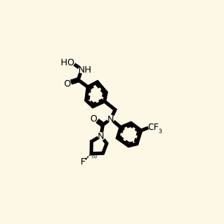 O=C(NO)c1ccc(CN(C(=O)N2CC[C@H](F)C2)c2cccc(C(F)(F)F)c2)cc1